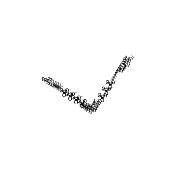 O.O.O.O.O=[Si]([O-])[O-].O=[Si]([O-])[O-].O=[Si]([O-])[O-].O=[Si]([O-])[O-].O=[Si]([O-])[O-].O=[Si]([O-])[O-].O=[Si]([O-])[O-].[Ba+2].[Ba+2].[Ba+2].[Ba+2].[Ca+2].[Ca+2].[Ca+2].[Ca+2].[F-].[F-].[F-].[F-].[F-].[F-].[F-].[Na+].[Na+].[Na+].[Na+].[OH-].[OH-].[OH-].[OH-].[OH-].[OH-].[OH-].[Sr+2].[Sr+2].[Sr+2].[Sr+2]